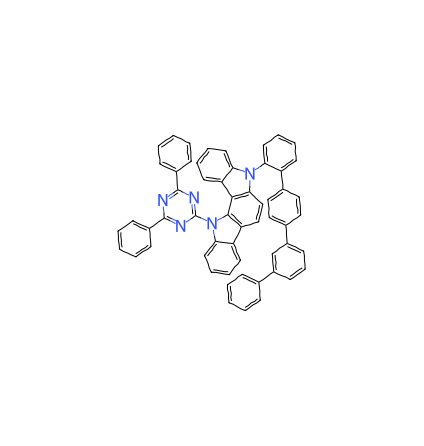 c1ccc(-c2cccc(-c3ccc(-c4ccccc4-n4c5ccccc5c5c4ccc4c6ccccc6n(-c6nc(-c7ccccc7)nc(-c7ccccc7)n6)c45)cc3)c2)cc1